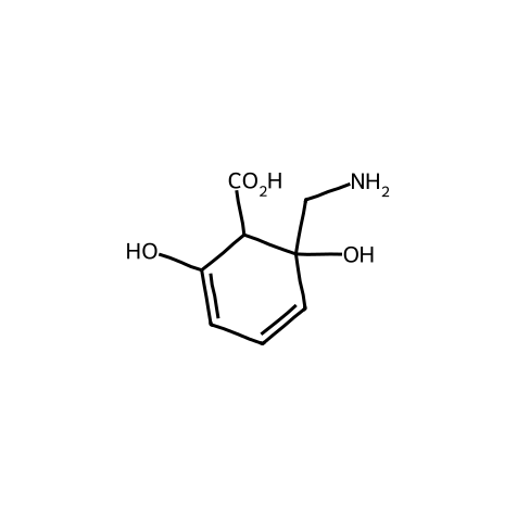 NCC1(O)C=CC=C(O)C1C(=O)O